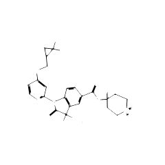 CC1(NC(=O)c2ccc3c(c2)C(C)(C)C(=O)N3c2cc(OCC3CC3(F)F)ccn2)CCS(=O)(=O)CC1